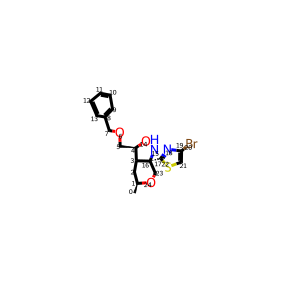 C[C@H]1CC2[C@@H](COCc3ccccc3)ON[C@@]2(c2nc(Br)cs2)CO1